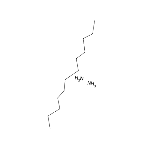 CCCCCCCCCCCC.N.N